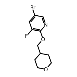 Fc1cc(Br)cnc1OCC1CCOCC1